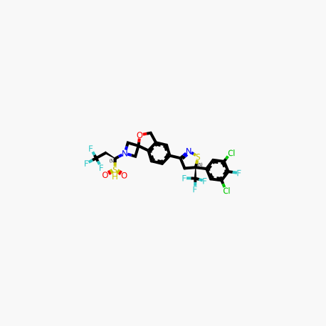 O=[SH](=O)[C@@H](CC(F)(F)F)N1CC2(C1)OCc1cc(C3=NS[C@@](c4cc(Cl)c(F)c(Cl)c4)(C(F)(F)F)C3)ccc12